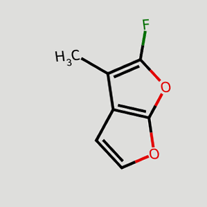 Cc1c(F)oc2occc12